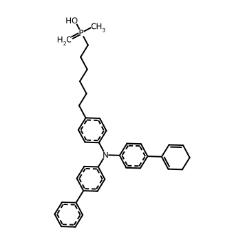 C=P(C)(O)CCCCCCc1ccc(N(c2ccc(C3=CCCC=C3)cc2)c2ccc(-c3ccccc3)cc2)cc1